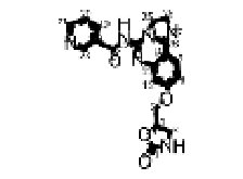 O=C1NCC(COc2ccc3c(c2)N=C(NC(=O)c2cccnc2)N2CCN=C32)O1